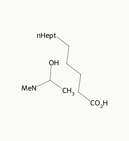 CCCCCCCCCCCC(=O)O.CNC(C)O